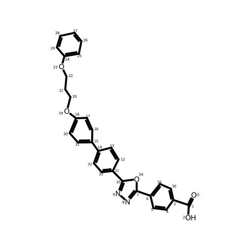 O=C(O)c1ccc(-c2nnc(-c3ccc(-c4ccc(OCCCOc5ccccc5)cc4)cc3)o2)cc1